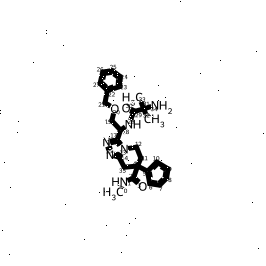 CNC(=O)C1(c2ccccc2)CCn2c(nnc2C(COCc2ccccc2)NC(=O)C(C)(C)N)C1